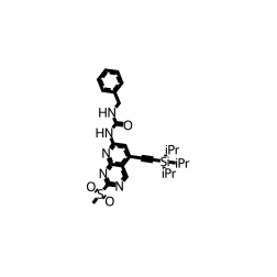 CC(C)[Si](C#Cc1cc(NC(=O)NCc2ccccc2)nc2nc(S(C)(=O)=O)ncc12)(C(C)C)C(C)C